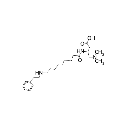 CN(C)CC(CC(=O)O)NC(=O)CCCCCCCCNCCc1ccccc1